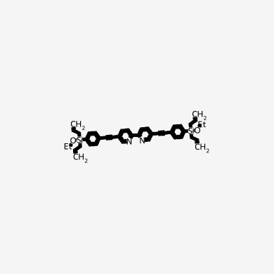 C=CC[Si](CC=C)(OCC)c1ccc(C#Cc2ccc(-c3ccc(C#Cc4ccc([Si](CC=C)(CC=C)OCC)cc4)cn3)nc2)cc1